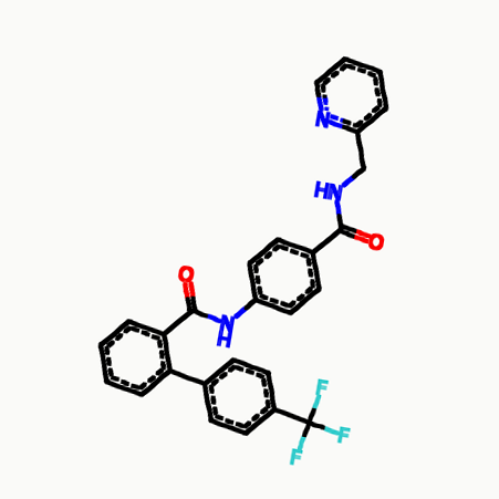 O=C(NCc1ccccn1)c1ccc(NC(=O)c2ccccc2-c2ccc(C(F)(F)F)cc2)cc1